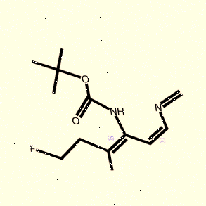 C=N/C=C\C(NC(=O)OC(C)(C)C)=C(/C)CCF